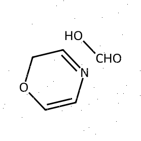 C1=COCC=N1.O=CO